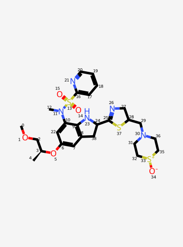 COC[C@H](C)Oc1cc2c(c(N(C)S(=O)(=O)c3ccccn3)c1)NC(C1=NCC(CN3CC[S+]([O-])CC3)S1)C2